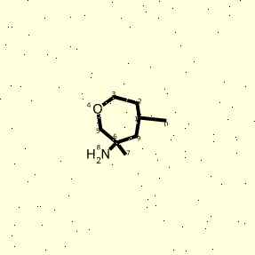 CC1CCOCC(C)(N)C1